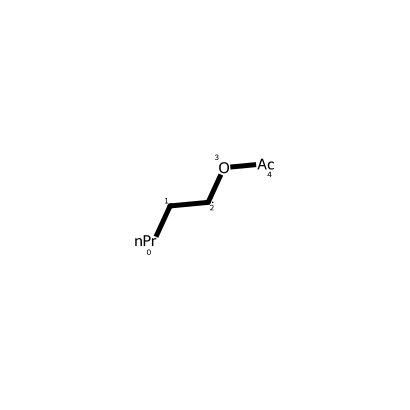 CCCC[CH]OC(C)=O